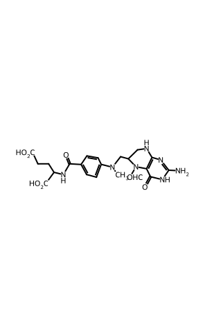 CN(CC1CNc2nc(N)[nH]c(=O)c2N1C=O)c1ccc(C(=O)NC(CCC(=O)O)C(=O)O)cc1